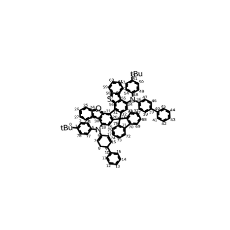 CC(C)(C)c1ccc(N(C2=CCC(c3ccccc3)C=C2)c2cc3c(c4oc5ccccc5c24)-c2c(cc(N(c4ccc(-c5ccccc5)cc4)c4ccc(C(C)(C)C)cc4)c4c2sc2ccccc24)C32c3ccccc3-c3ccccc32)cc1